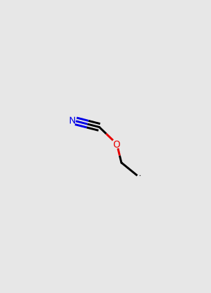 [CH2]COC#N